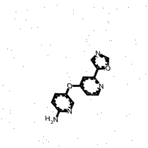 Nc1ccc(Oc2ccnc(-c3cnco3)c2)cn1